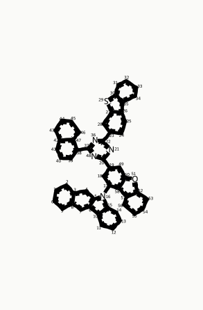 c1ccc2cc3c(cc2c1)c1ccccc1n3-c1cc(-c2nc(-c3ccc4c(c3)sc3ccccc34)nc(-c3cccc4ccccc34)n2)cc2oc3ccccc3c12